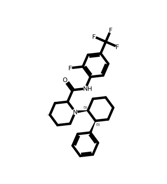 O=C(Nc1ccc(C(F)(F)F)cc1F)C1C[CH]CCN1[C@H]1CCCC[C@H]1c1ccccc1